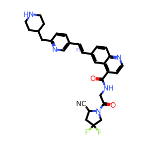 N#CC1CC(F)(F)CN1C(=O)CNC(=O)c1ccnc2ccc(/C=C/c3ccc(CC4CCNCC4)nc3)cc12